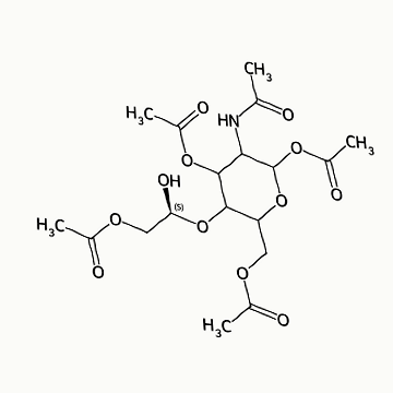 CC(=O)NC1C(OC(C)=O)OC(COC(C)=O)C(O[C@H](O)COC(C)=O)C1OC(C)=O